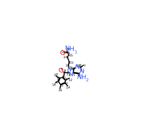 Cc1nc(N)c2nc(C(=O)c3c(C)c(C)c(C)c(C)c3C)n(CCCCC(N)=O)c2n1